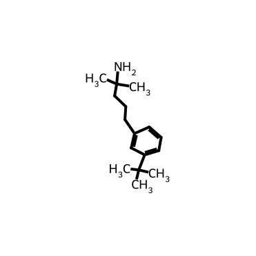 CC(C)(N)CCCc1cccc(C(C)(C)C)c1